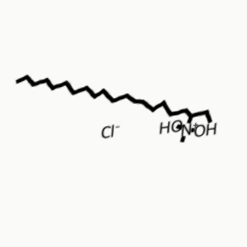 CCCCCCCCCCCCCCCCCCC(CC)[N+](C)(O)O.[Cl-]